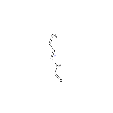 C=C/C=C/NC=O